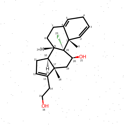 C[C@]12C=CCC=C1CC[C@H]1[C@@H]3CC=C(CCO)[C@@]3(C)C[C@H](O)[C@@]12F